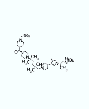 C[C@H](CNC(C)(C)C)n1cnc(-c2ccc(CC(C)(C)CCC(C)(C)N3CCN(C(=O)C4CCN(CC(C)(C)C)CC4)CC3)cc2)c1